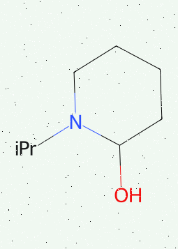 CC(C)N1CCCCC1O